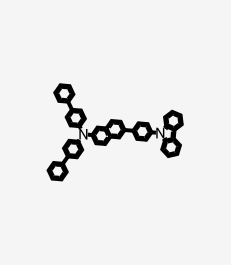 c1ccc(-c2ccc(N(c3ccc(-c4ccccc4)cc3)c3ccc4cc(-c5ccc(-n6c7ccccc7c7ccccc76)cc5)ccc4c3)cc2)cc1